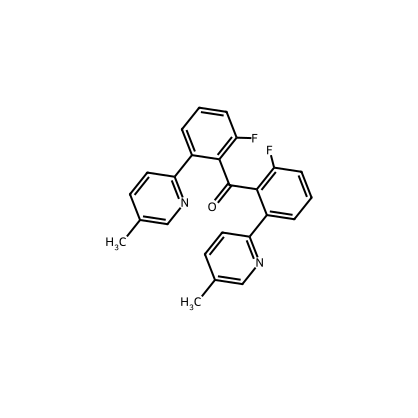 Cc1ccc(-c2cccc(F)c2C(=O)c2c(F)cccc2-c2ccc(C)cn2)nc1